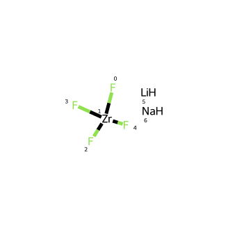 [F][Zr]([F])([F])[F].[LiH].[NaH]